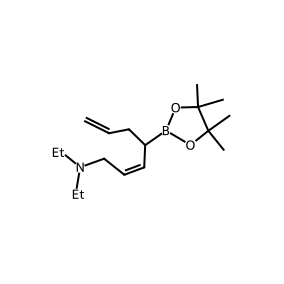 C=CCC(/C=C\CN(CC)CC)B1OC(C)(C)C(C)(C)O1